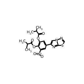 CC(C)C(=O)Oc1cc(-c2cn3ncsc3n2)cc([N+](=O)[O-])c1OC(=O)C(C)C